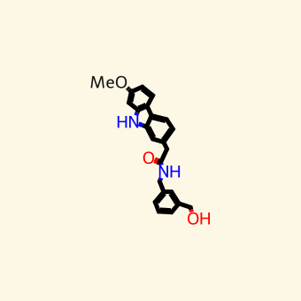 COc1ccc2c(c1)[nH]c1cc(CC(=O)NCc3cccc(CO)c3)ccc12